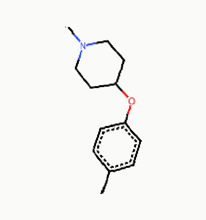 [CH2]N1CCC(Oc2ccc(C)cc2)CC1